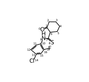 O=C1CCCCC1C(=S)Nc1ccc(Cl)cc1F